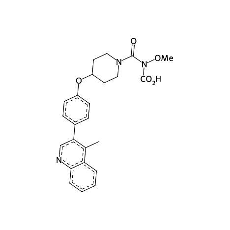 CON(C(=O)O)C(=O)N1CCC(Oc2ccc(-c3cnc4ccccc4c3C)cc2)CC1